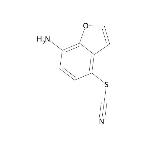 N#CSc1ccc(N)c2occc12